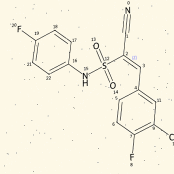 N#C/C(=C/c1ccc(F)c(Cl)c1)S(=O)(=O)Nc1ccc(F)cc1